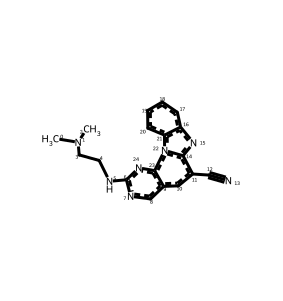 CN(C)CCNc1ncc2cc(C#N)c3nc4ccccc4n3c2n1